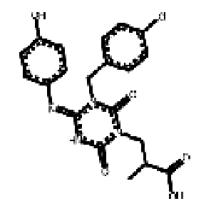 CC(Cn1c(=O)[nH]c(=Nc2ccc(O)cc2)n(Cc2ccc(Cl)cc2)c1=O)C(=O)O